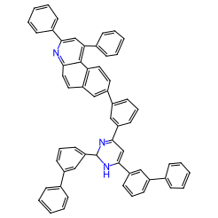 C1=C(c2cccc(-c3ccccc3)c2)NC(c2cccc(-c3ccccc3)c2)N=C1c1cccc(-c2ccc3c(ccc4nc(-c5ccccc5)cc(-c5ccccc5)c43)c2)c1